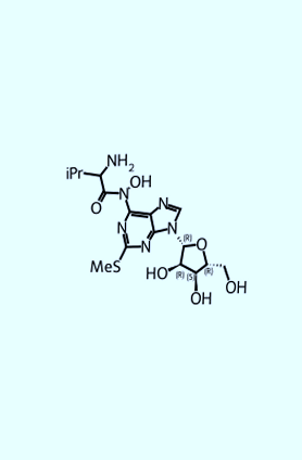 CSc1nc(N(O)C(=O)C(N)C(C)C)c2ncn([C@@H]3O[C@H](CO)[C@@H](O)[C@H]3O)c2n1